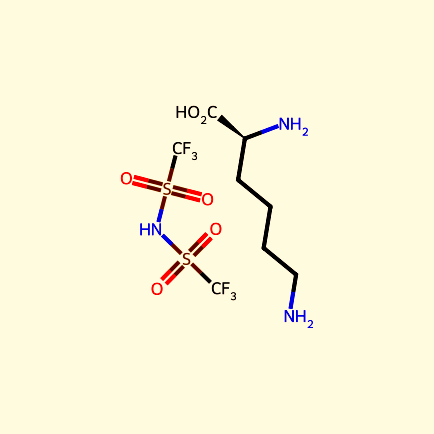 NCCCC[C@H](N)C(=O)O.O=S(=O)(NS(=O)(=O)C(F)(F)F)C(F)(F)F